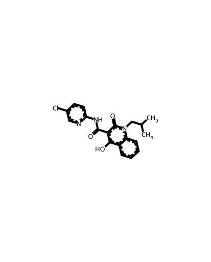 CC(C)Cn1c(=O)c(C(=O)Nc2ccc(Cl)cn2)c(O)c2ccccc21